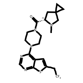 CN1CC2(CC2)C[C@H]1C(=O)N1CCN(c2ncnc3sc(CC(F)(F)F)cc23)CC1